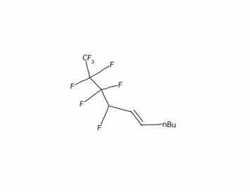 CCCCC=CC(F)C(F)(F)C(F)(F)C(F)(F)F